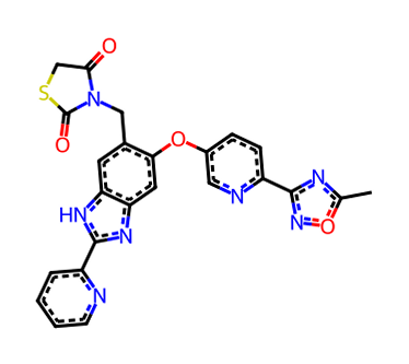 Cc1nc(-c2ccc(Oc3cc4nc(-c5ccccn5)[nH]c4cc3CN3C(=O)CSC3=O)cn2)no1